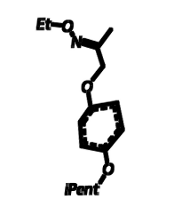 CCCC(C)Oc1ccc(OCC(C)=NOCC)cc1